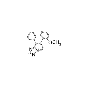 COc1ccccc1-c1ccn2n[c]nc2c1-c1ccccc1